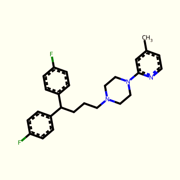 Cc1ccnc(N2CCN(CCCC(c3ccc(F)cc3)c3ccc(F)cc3)CC2)c1